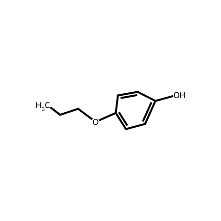 CC[CH]Oc1ccc(O)cc1